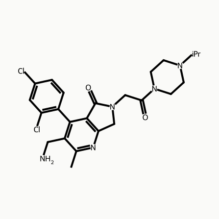 Cc1nc2c(c(-c3ccc(Cl)cc3Cl)c1CN)C(=O)N(CC(=O)N1CCN(C(C)C)CC1)C2